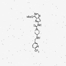 COc1ncnc2sc(NC(=O)N3CCC(NCc4ccc(C(F)(F)F)nc4)CC3)nc12